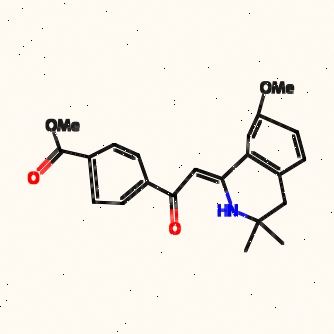 COC(=O)c1ccc(C(=O)/C=C2\NC(C)(C)Cc3ccc(OC)cc32)cc1